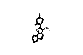 Cc1cc(Cl)ccc1-c1nc2c3ccccc3ccn2c1N